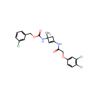 CC1(NC(=O)OCc2cccc(Cl)c2)C=C(NC(=O)COc2ccc(Cl)c(Cl)c2)C1